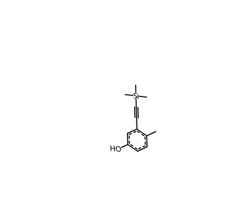 Cc1ccc(O)cc1C#C[Si](C)(C)C